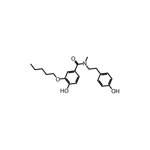 CCCCCOc1cc(C(=O)N(C)CCc2ccc(O)cc2)ccc1O